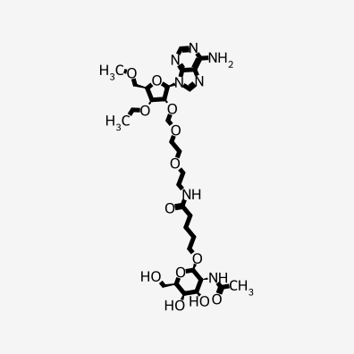 CCO[C@H]1[C@@H](OCOCCOCCNC(=O)CCCCO[C@@H]2O[C@H](CO)[C@H](O)[C@H](O)[C@H]2NC(C)=O)[C@H](n2cnc3c(N)ncnc32)O[C@@H]1COC